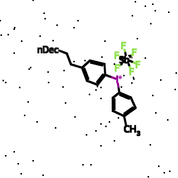 CCCCCCCCCCCCc1ccc([I+]c2ccc(C)cc2)cc1.[F][Sb-]([F])([F])([F])([F])[F]